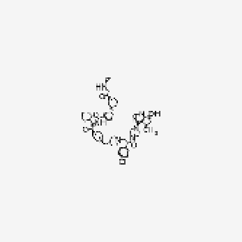 C[C@@H]1C[C@@H](O)c2ncnc(N3CCN(C(=O)C(CN4CCC(CN5CCN(C(=O)[C@H](NC(=O)c6cccc([C@H]7CCCN(C(=O)CNC8CC8)C7)c6)C6CCCCC6)CC5)CC4)c4ccc(Cl)cc4)CC3)c21